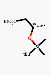 CCOC(=O)C[C@H](C)O[Si](C)(C)C(C)(C)C